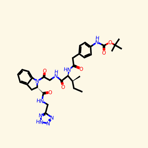 CC[C@H](C)[C@H](NC(=O)Cc1ccc(NC(=O)OC(C)(C)C)cc1)C(=O)NCC(=O)N1c2ccccc2C[C@H]1C(=O)NCc1nn[nH]n1